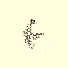 N#CCN(C(=O)NCC1=CCCC=C1)N1CC(=O)N2[C@@H](Cc3ccc(-c4nnn[nH]4)cc3)C(=O)N(Cc3cccc4sc(N)nc34)C[C@@H]21